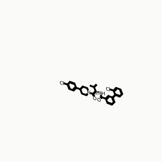 CC(C)[C@@H](NC(=O)c1cccc(-c2ccccc2Cl)c1)C(=O)N1CCC(c2ccc(Cl)cc2)CC1